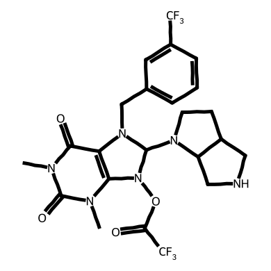 Cn1c2c(c(=O)n(C)c1=O)N(Cc1cccc(C(F)(F)F)c1)C(N1CCC3CNCC31)N2OC(=O)C(F)(F)F